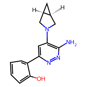 Nc1nnc(-c2ccccc2O)cc1N1C[C@H]2C[C@H]2C1